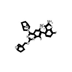 N#Cc1c(N)sc2c(F)ccc(-c3c(C(F)(F)F)cc4c(N5CC6CCC(C5)N6)nc(OCC56CCC(C5)OC6)nc4c3F)c12